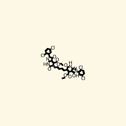 CCOC(=O)c1c2c([nH]c(=O)/c1=C/C=CC=Cc1c(C(=O)OCC)c3c(O)n(-c4cc(Cl)ccc4Cl)nc3[nH]c1=O)=NC(c1cc(Cl)ccc1Cl)C2=O